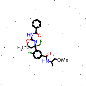 COCC(C)NC(=O)c1ccc(F)c([C@]2(CF)C[C@@H](C(F)(F)F)OC(NC(=O)c3ccccc3)=N2)c1